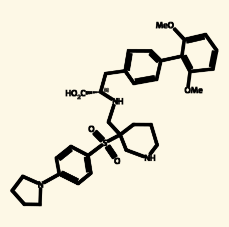 COc1cccc(OC)c1-c1ccc(C[C@H](NCC2(S(=O)(=O)c3ccc(N4CCCC4)cc3)CCCNC2)C(=O)O)cc1